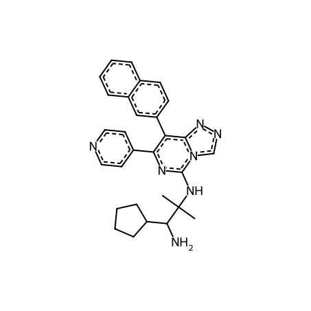 CC(C)(Nc1nc(-c2ccncc2)c(-c2ccc3ccccc3c2)c2nncn12)C(N)C1CCCC1